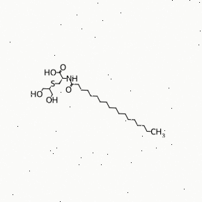 CCCCCCCCCCCCCCCCCC(=O)N[C@@H](CSC(CO)CO)C(=O)O